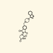 O=C1CCN(N2C(=O)c3ccc(CN4CCN(c5nsc6ccccc56)CC4)cc3C2=O)C(=O)N1